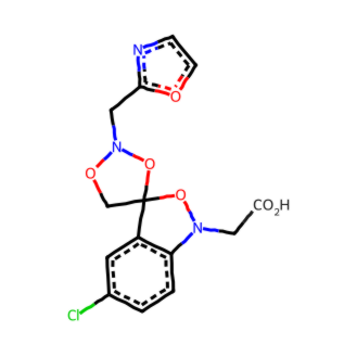 O=C(O)CN1OC2(CON(Cc3ncco3)O2)c2cc(Cl)ccc21